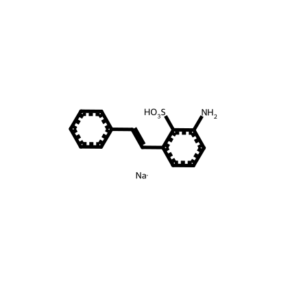 Nc1cccc(C=Cc2ccccc2)c1S(=O)(=O)O.[Na]